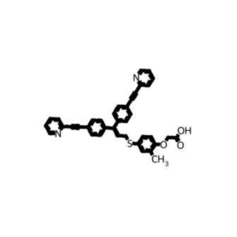 Cc1cc(SCC=C(c2ccc(C#Cc3ccccn3)cc2)c2ccc(C#Cc3ccccn3)cc2)ccc1OCC(=O)O